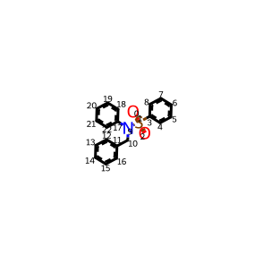 O=S(=O)(c1ccccc1)N(Cc1ccccc1)c1ccccc1